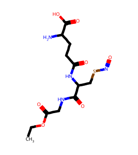 CCOC(=O)CNC(=O)C(CSN=O)NC(=O)CCC(N)C(=O)O